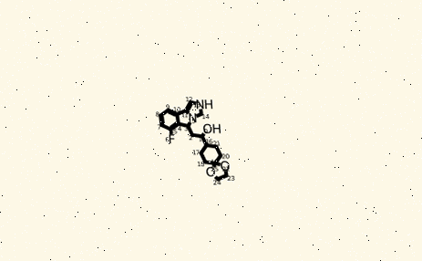 OC(CC1c2c(F)cccc2C2=CNCN21)C1CCC2(CC1)OCCO2